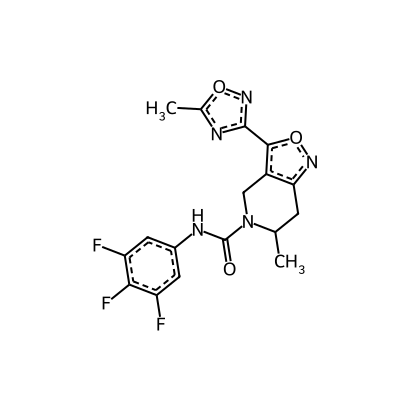 Cc1nc(-c2onc3c2CN(C(=O)Nc2cc(F)c(F)c(F)c2)C(C)C3)no1